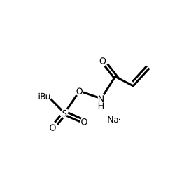 C=CC(=O)NOS(=O)(=O)C(C)CC.[Na]